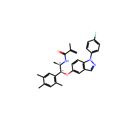 C=C(C)C(=O)N[C@H](C)[C@@H](Oc1ccc2c(cnn2-c2ccc(F)cc2)c1)c1cc(C)c(C)cc1C